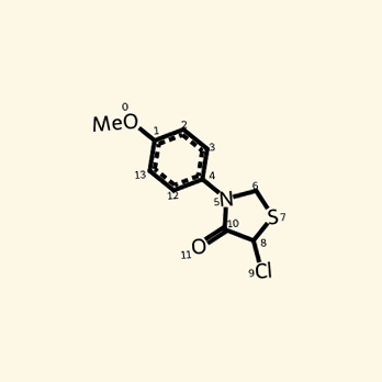 COc1ccc(N2CSC(Cl)C2=O)cc1